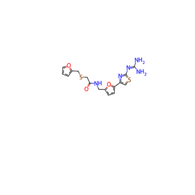 NC(N)=Nc1nc(-c2ccc(CNC(=O)CSCc3ccco3)o2)cs1